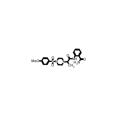 COc1ccc(S(=O)(=O)N2CCN(C(C)C(=O)Nc3ccccc3C(N)=O)CC2)cc1